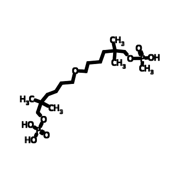 CC(C)(CCCCOCCCCC(C)(C)COP(=O)(O)O)COP(C)(=O)O